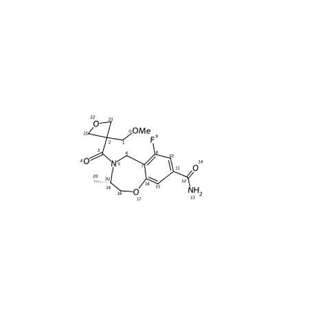 COCC1(C(=O)N2Cc3c(F)cc(C(N)=O)cc3OC[C@@H]2C)COC1